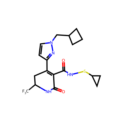 O=C(NSC1CC1)C1=C(c2ccn(CC3CCC3)n2)CC(C(F)(F)F)NC1=O